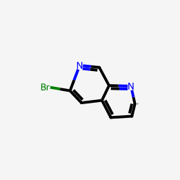 Brc1cc2cc[c]nc2cn1